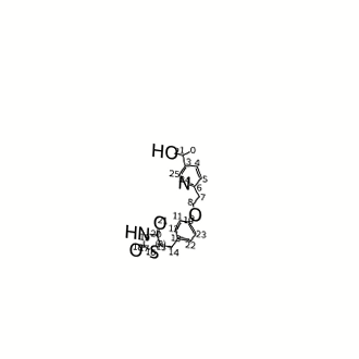 CC(O)c1ccc(CCOc2ccc(C[C@H]3SC(=O)NC3=O)cc2)nc1